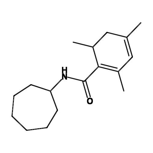 CC1=CC(C)=C(C(=O)NC2CCCCCC2)C(C)C1